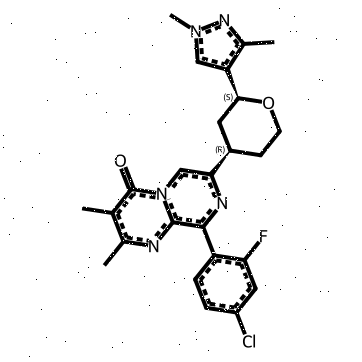 Cc1nn(C)cc1[C@@H]1C[C@H](c2cn3c(=O)c(C)c(C)nc3c(-c3ccc(Cl)cc3F)n2)CCO1